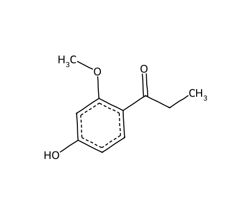 CCC(=O)c1ccc(O)cc1OC